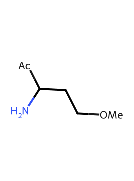 COCCC(N)C(C)=O